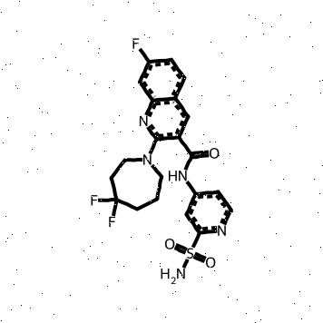 NS(=O)(=O)c1cc(NC(=O)c2cc3ccc(F)cc3nc2N2CCCC(F)(F)CC2)ccn1